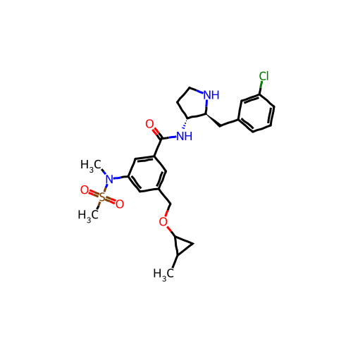 CC1CC1OCc1cc(C(=O)N[C@@H]2CCN[C@H]2Cc2cccc(Cl)c2)cc(N(C)S(C)(=O)=O)c1